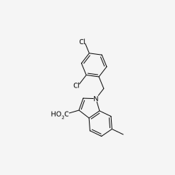 Cc1ccc2c(C(=O)O)cn(Cc3ccc(Cl)cc3Cl)c2c1